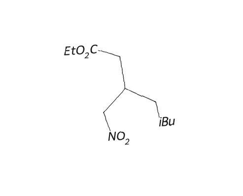 CCOC(=O)CC(CC(C)CC)C[N+](=O)[O-]